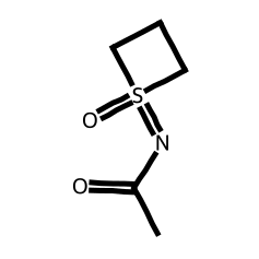 CC(=O)N=S1(=O)CCC1